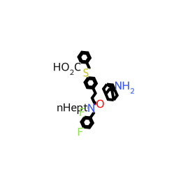 CCCCCCCN(Cc1ccc(F)cc1F)C(=O)CCc1ccc(SCc2ccccc2C(=O)O)cc1.NC12CC3CC(CC(C3)C1)C2